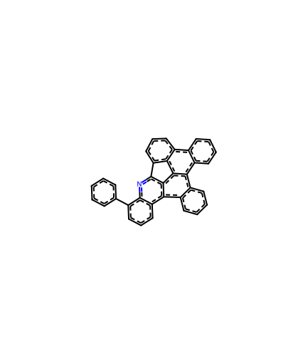 c1ccc(-c2cccc3c2nc2c4c3c3ccccc3c3c5ccccc5c5cccc-2c5c43)cc1